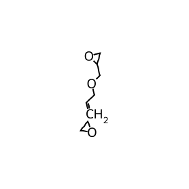 C1CO1.C=CCOCC1CO1